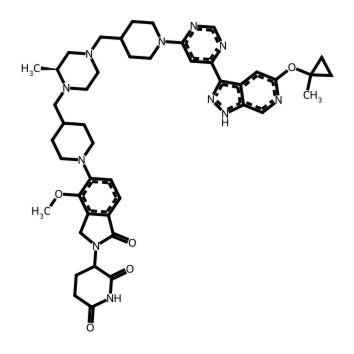 COc1c(N2CCC(CN3CCN(CC4CCN(c5cc(-c6n[nH]c7cnc(OC8(C)CC8)cc67)ncn5)CC4)C[C@@H]3C)CC2)ccc2c1CN(C1CCC(=O)NC1=O)C2=O